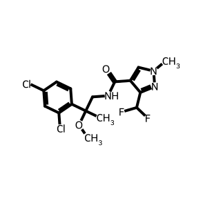 COC(C)(CNC(=O)c1cn(C)nc1C(F)F)c1ccc(Cl)cc1Cl